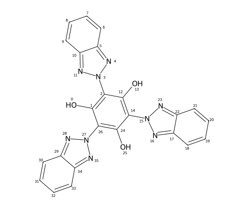 Oc1c(-n2nc3ccccc3n2)c(O)c(-n2nc3ccccc3n2)c(O)c1-n1nc2ccccc2n1